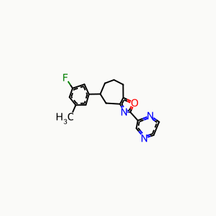 Cc1cc(F)cc(C2CCCc3oc(-c4cnccn4)nc3C2)c1